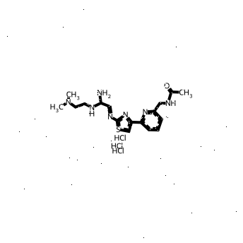 CC(=O)NCc1cccc(-c2csc(N=CC(N)NCCN(C)C)n2)n1.Cl.Cl.Cl